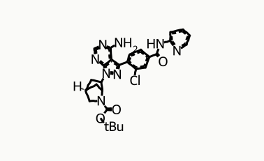 CC(C)(C)OC(=O)N1C[C@@H]2CC1C(n1nc(-c3ccc(C(=O)Nc4ccccn4)cc3Cl)c3c(N)ncnc31)C2